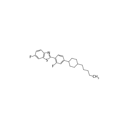 CCCCCC1CCC(c2ccc(-c3nc4ccc(F)cc4s3)c(F)c2)CC1